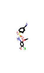 COc1cc(NS(=O)(=O)c2ccc(C#N)cc2)c(OC)cc1Cl